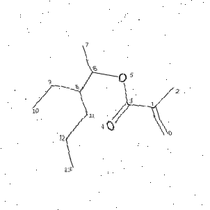 C=C(C)C(=O)OC(C)C(CC)CCC